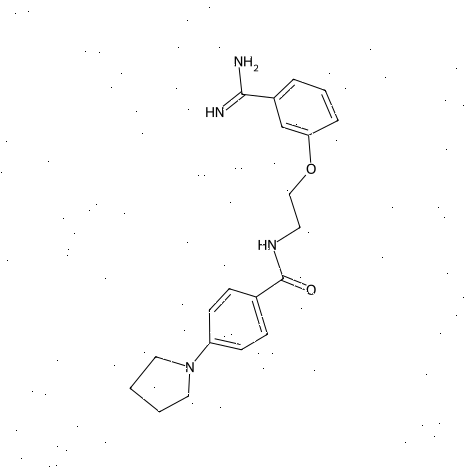 N=C(N)c1cccc(OCCNC(=O)c2ccc(N3CCCC3)cc2)c1